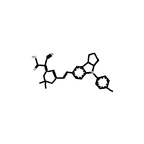 Cc1ccc(N2c3ccc(/C=C/C4=CC(=C(\C#N)C(=O)O)/CC(C)(C)C4)cc3C3CCCC32)cc1